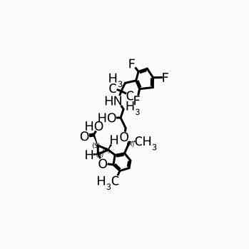 Cc1ccc([C@@H](C)OCC(O)CNC(C)(C)Cc2c(F)cc(F)cc2F)c2c1O[C@@H]1[C@@H](C(=O)O)[C@H]21